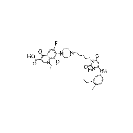 CCc1cc(Nc2cc(=O)n(CCCCCN3CCN(c4c(F)cc5c(=O)c(C(=O)O)cn(CC)c5c4OC)CC3)c(=O)[nH]2)ccc1C